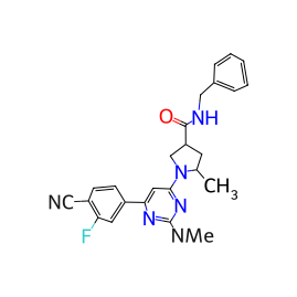 CNc1nc(-c2ccc(C#N)c(F)c2)cc(N2CC(C(=O)NCc3ccccc3)CC2C)n1